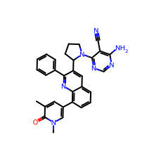 Cc1cc(-c2cccc3cc(C4CCCN4c4ncnc(N)c4C#N)c(-c4ccccc4)nc23)cn(C)c1=O